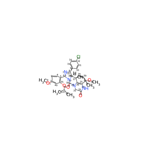 COc1ccc(C2=N[C@@H](c3ccc(Cl)cc3)[C@@H]3N2C(=O)N2CC(=O)NC4=C2C3(C)C=CC4(C)OC)c(OC(C)C)c1